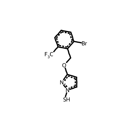 FC(F)(F)c1cccc(Br)c1COc1ccn(S)n1